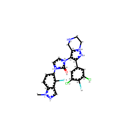 Cn1ncc2c(F)c(-n3ccn(-c4c(-c5cc(Cl)c(F)c(Cl)c5)nn5c4CNCC5)c3=O)ccc21